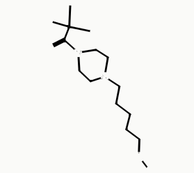 COCCCCCN1CCN(C(=O)C(C)(C)C)CC1